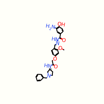 COc1cc(OCC(=O)N[C@@H]2CCN(Cc3ccccc3)C2)ccc1C=NNC(=O)c1ccc(O)c(N)c1